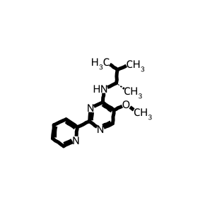 COc1cnc(-c2ccccn2)nc1N[C@@H](C)C(C)C